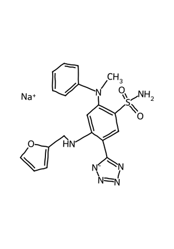 CN(c1ccccc1)c1cc(NCc2ccco2)c(-c2nnn[n-]2)cc1S(N)(=O)=O.[Na+]